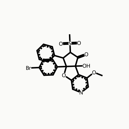 COc1cncc2c1C1(O)C(=O)C(S(C)(=O)=O)C(c3ccccc3)C1(c1ccc(Br)cc1)O2